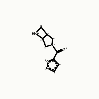 O=C(c1ccno1)N1CC2CNC2C1